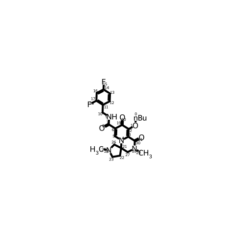 CCCCOc1c2n(cc(C(=O)NCc3ccc(F)cc3F)c1=O)C1(CCN(C)C1)CN(C)C2=O